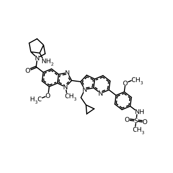 COc1cc(NS(C)(=O)=O)ccc1-c1ccc2cc(-c3nc4cc(C(=O)N5CC6CCC5C6N)cc(OC)c4n3C)n(CC3CC3)c2n1